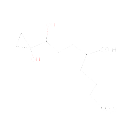 O=C(O)CCCC(CCC(O)C1(O)CC1)C(=O)O